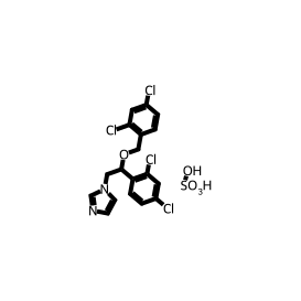 Clc1ccc(COC(Cn2ccnc2)c2ccc(Cl)cc2Cl)c(Cl)c1.O=S(=O)(O)O